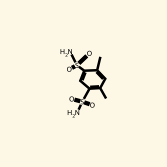 Cc1cc(C)c(S(N)(=O)=O)cc1S(N)(=O)=O